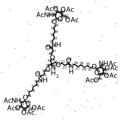 CC(=O)N[C@H]1C(OCCCCCCNC(=O)CCOCC(N)(COCCC(=O)NCCCCCCOC2O[C@H](COC(C)=O)[C@H](OC(C)=O)[C@H](OC(C)=O)[C@H]2NC(C)=O)COCCC(=O)NCCCCCCOC2O[C@H](COC(C)=O)[C@H](OC(C)=O)[C@H](OC(C)=O)[C@H]2NC(C)=O)O[C@H](COC(C)=O)[C@H](OC(C)=O)[C@@H]1OC(C)=O